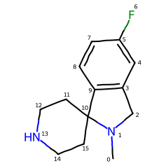 CN1Cc2cc(F)ccc2C12CCNCC2